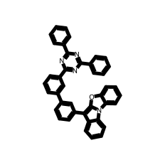 c1ccc(-c2nc(-c3ccccc3)nc(-c3cccc(-c4cccc(-c5c6ccccc6n6c5oc5ccccc56)c4)c3)n2)cc1